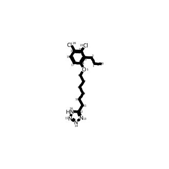 CCCc1c(OCCCCCCc2nnn[nH]2)ccc(Cl)c1Cl